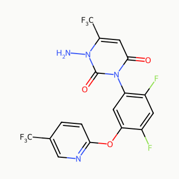 Nn1c(C(F)(F)F)cc(=O)n(-c2cc(Oc3ccc(C(F)(F)F)cn3)c(F)cc2F)c1=O